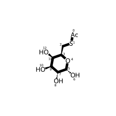 CC(=O)SC[C@H]1O[C@H](O)[C@H](O)[C@@H](O)[C@H]1O